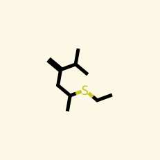 C=C(CC(C)SCC)C(C)C